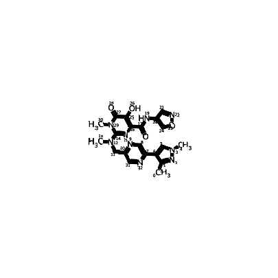 Cc1nn(C)cc1-c1cnc(CN(C)c2nc(C(=O)Nc3cnoc3)c(O)c(=O)n2C)cn1